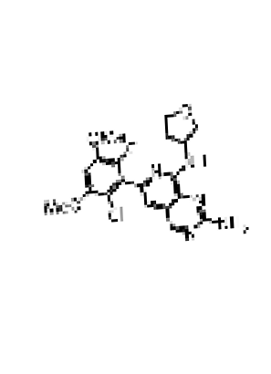 COc1cc(OC)c(Cl)c(-c2cc3cnc(N)nc3c(NC3CCOC3)n2)c1Cl